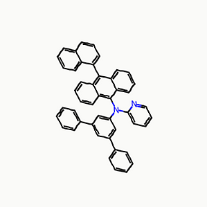 c1ccc(-c2cc(-c3ccccc3)cc(N(c3ccccn3)c3c4ccccc4c(-c4cccc5ccccc45)c4ccccc34)c2)cc1